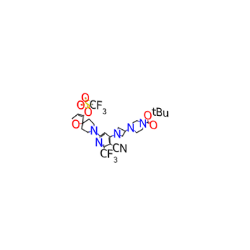 CC(C)(C)OC(=O)N1CCN(C2CN(c3cc(N4CCC5(CC4)OCC=C5OS(=O)(=O)C(F)(F)F)nc(C(F)(F)F)c3C#N)C2)CC1